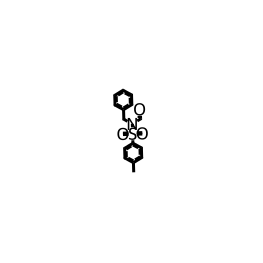 Cc1ccc(S(=O)(=O)N(C=O)Cc2ccccc2)cc1